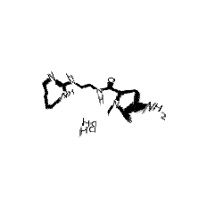 Cl.Cl.Cn1cc(N)cc1C(=O)NCCNC1=NCCCN1